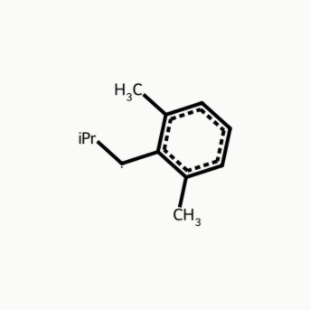 Cc1cccc(C)c1[CH]C(C)C